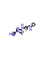 Cc1cn2c(-c3cn[nH]c3)cnc2c(Nc2cc(CNC3CCCC3)cs2)n1